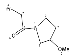 COC1CCN(C(=O)CC(C)C)C1